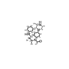 CC(=O)N1c2ccc(N3CCNC(C)C3)cc2C(Nc2ccccc2)[C@@H](C)[C@@H]1C